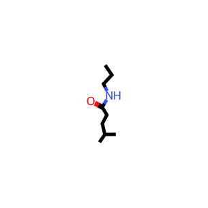 CCCNC(=O)CCC(C)C